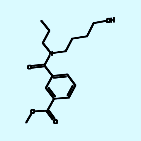 CCCN(CCCCO)C(=O)c1cccc(C(=O)OC)c1